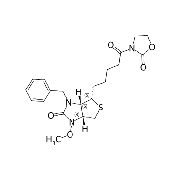 CON1C(=O)N(Cc2ccccc2)[C@@H]2[C@H](CCCCC(=O)N3CCOC3=O)SC[C@@H]21